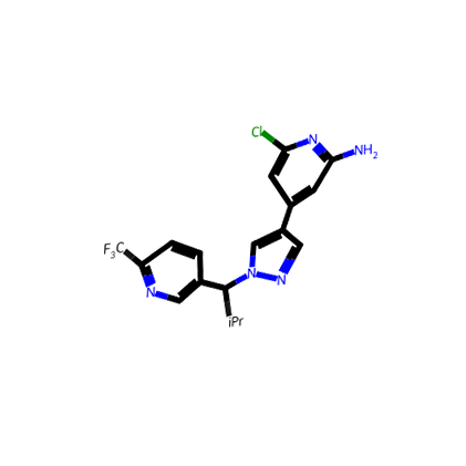 CC(C)C(c1ccc(C(F)(F)F)nc1)n1cc(-c2cc(N)nc(Cl)c2)cn1